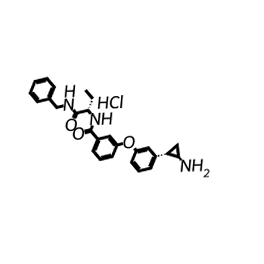 CC[C@H](NC(=O)c1cccc(Oc2cccc([C@@H]3C[C@H]3N)c2)c1)C(=O)NCc1ccccc1.Cl